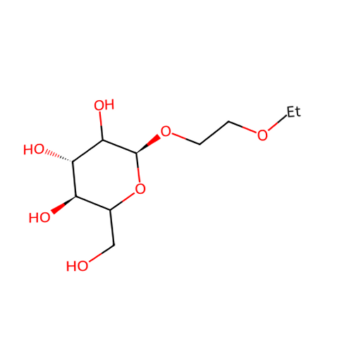 CCOCCO[C@H]1OC(CO)[C@@H](O)[C@H](O)C1O